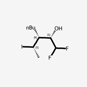 CCCC[C@@H]([C@H](C)I)[C@H](O)C(F)F